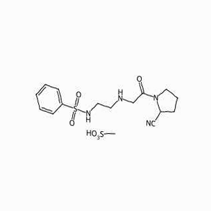 CS(=O)(=O)O.N#CC1CCCN1C(=O)CNCCNS(=O)(=O)c1ccccc1